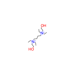 CC[N+](CC)(CCO)CCCC[N+](CC)(CC)CCO